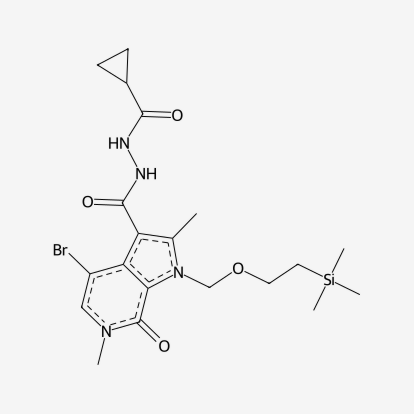 Cc1c(C(=O)NNC(=O)C2CC2)c2c(Br)cn(C)c(=O)c2n1COCC[Si](C)(C)C